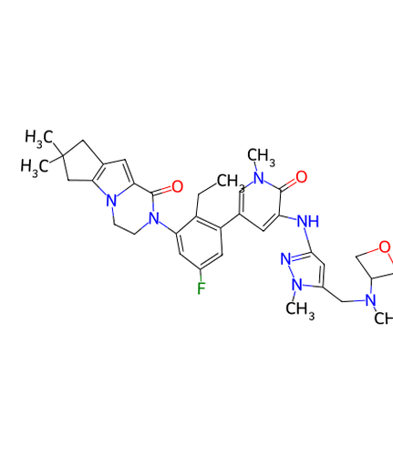 CCc1c(-c2cc(Nc3cc(CN(C)C4COC4)n(C)n3)c(=O)n(C)c2)cc(F)cc1N1CCn2c(cc3c2CC(C)(C)C3)C1=O